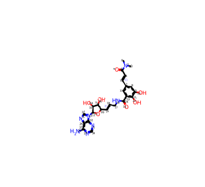 CN(C)C(=O)/C=C/c1cc(O)c(O)c(C(=O)NC/C=C/C2OC(n3cnc4c(N)ncnc43)C(O)C2O)c1